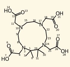 CC1(C)N(CC(=O)O)CCN(CC(=O)O)CCN(CC(=O)O)CCN(CC(=O)O)C1(C)C